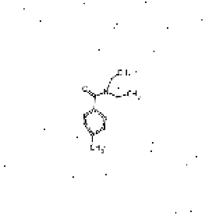 [CH2]c1ccc(C(=O)N(CC)CC)cc1